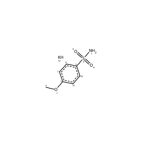 COc1ccc(S(N)(=O)=O)cc1.[KH]